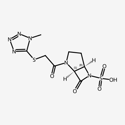 Cn1nnnc1SCC(=O)N1CC[C@@H]2[C@H]1C(=O)N2S(=O)(=O)O